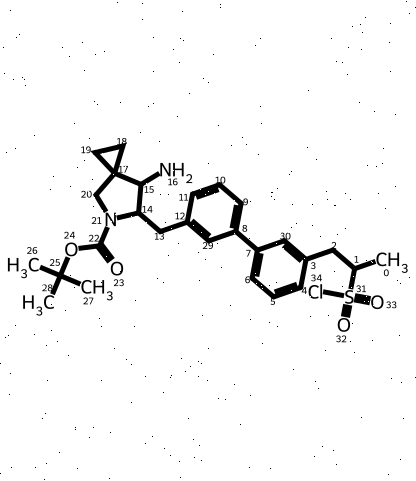 CC(Cc1cccc(-c2cccc(CC3C(N)C4(CC4)CN3C(=O)OC(C)(C)C)c2)c1)S(=O)(=O)Cl